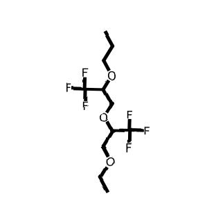 CCCOC(COC(COCC)C(F)(F)F)C(F)(F)F